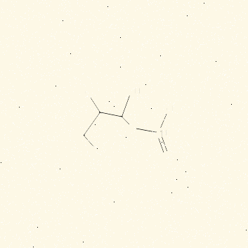 CCC(C)C(C)S[PH](=O)Cl